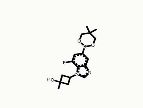 CC1(C)COB(c2cc(F)c3c(c2)ncn3C2CC(C)(O)C2)OC1